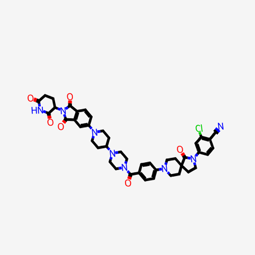 N#Cc1ccc(N2CCC3(CCN(c4ccc(C(=O)N5CCN(C6CCN(c7ccc8c(c7)C(=O)N(C7CCC(=O)NC7=O)C8=O)CC6)CC5)cc4)CC3)C2=O)cc1Cl